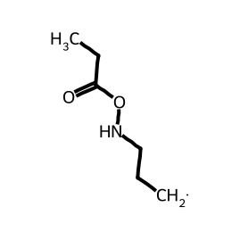 [CH2]CCNOC(=O)CC